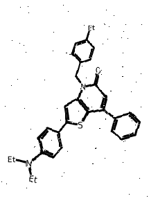 CCc1ccc(Cn2c(=O)cc(-c3ccccc3)c3sc(-c4ccc(N(CC)CC)cc4)cc32)cc1